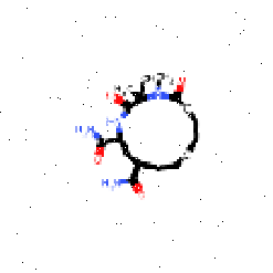 CN1C(=O)CCCCCCC(C(N)=O)CC(C(N)=O)NC(=O)C1(C)C